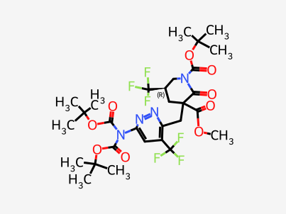 COC(=O)C1(Cc2nnc(N(C(=O)OC(C)(C)C)C(=O)OC(C)(C)C)cc2C(F)(F)F)C[C@@H](C(F)(F)F)CN(C(=O)OC(C)(C)C)C1=O